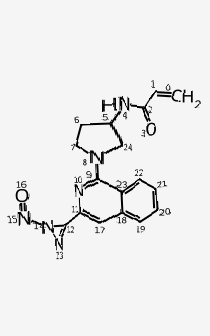 C=CC(=O)NC1CCN(c2nc(C3=NN3N=O)cc3ccccc23)C1